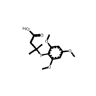 COc1cc(OC)c(SC(C)(C)CC(=O)O)c(OC)c1